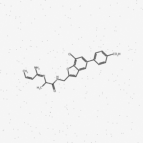 C/C=C\C(N)=N/C(C)C(=O)NCc1cc2cc(-c3ccc(C(=O)O)cc3)cc(Cl)c2o1